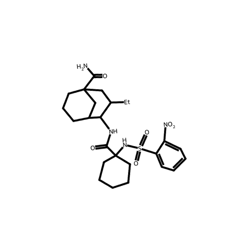 CCC1CC2(C(N)=O)CCCC(C2)C1NC(=O)C1(NS(=O)(=O)c2ccccc2[N+](=O)[O-])CCCCC1